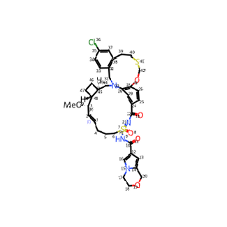 CO[C@H]1/C=C/CCC[S@@](=O)(NC(=O)c2cc3n(c2)CCOC3)=NC(=O)c2ccc3c(c2)N(Cc2ccc(Cl)cc2CCSCO3)C[C@@H]2CC[C@H]21